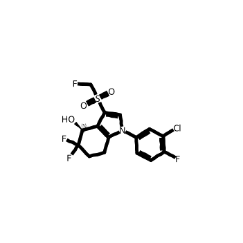 O=S(=O)(CF)c1cn(-c2ccc(F)c(Cl)c2)c2c1[C@H](O)C(F)(F)CC2